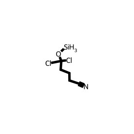 N#CCCCC(Cl)(Cl)O[SiH3]